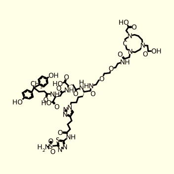 CC(CCC(=O)N[C@@H](CC(=O)N[C@@H](CC(=O)N[C@@H](CCCCn1cc(CCCC(=O)Nc2nnc(S(N)(=O)=O)s2)nn1)C(=O)NCCOCCOCCNC(=O)CN1CCCN(CC(=O)O)CCCN(CC(=O)O)CC1)C(=O)O)C(=O)O)(c1ccc(O)cc1)c1ccc(O)cc1